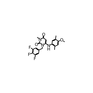 COc1cc(C)c(Nc2cc(=O)n(C)c(=O)n2Cc2cc(F)c(F)c(F)c2)cc1C